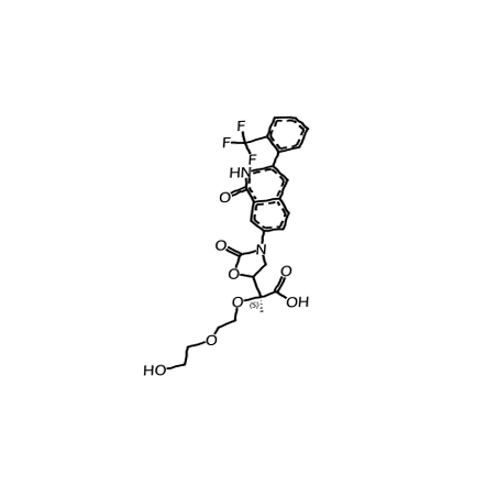 C[C@@](OCCOCCO)(C(=O)O)C1CN(c2ccc3cc(-c4ccccc4C(F)(F)F)[nH]c(=O)c3c2)C(=O)O1